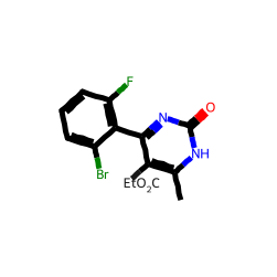 CCOC(=O)c1c(-c2c(F)cccc2Br)nc(=O)[nH]c1C